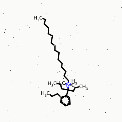 CCCCCCCCCCCCCCCC[N+](C)(C)C(CCC)(CCC)c1ccccc1CCC